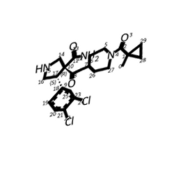 CC1(C(=O)N2CCC(C(=O)[C@]3(C(N)=O)CNC[C@H]3c3ccc(Cl)c(Cl)c3)CC2)CC1